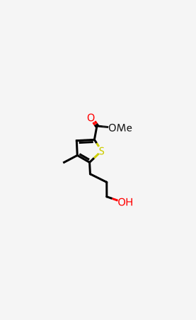 COC(=O)c1cc(C)c(CCCO)s1